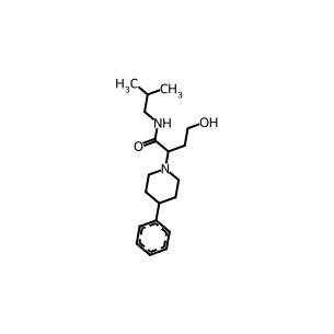 CC(C)CNC(=O)C(CCO)N1CCC(c2ccccc2)CC1